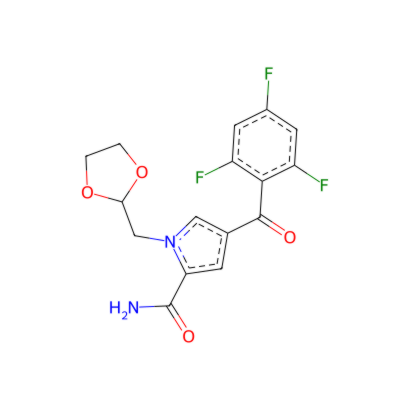 NC(=O)c1cc(C(=O)c2c(F)cc(F)cc2F)cn1CC1OCCO1